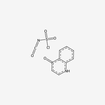 O=C=NS(=O)(=O)Cl.O=c1cc[nH]c2ccccc12